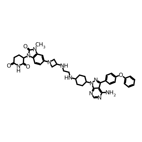 Cn1c(=O)n(C2CCC(=O)NC2=O)c2ccc(N3CC(NCCNC4CCC(n5nc(-c6ccc(Oc7ccccc7)cc6)c6c(N)ncnc65)CC4)C3)cc21